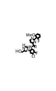 COc1cccc(F)c1-c1nccc(C(=O)Nc2cc(F)c(Cl)cc2N2CCNC(CO)C2)n1